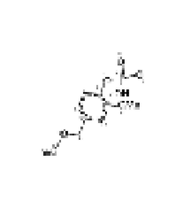 CCCCOCc1ccc(OP(=O)(O)O)c(OC)c1